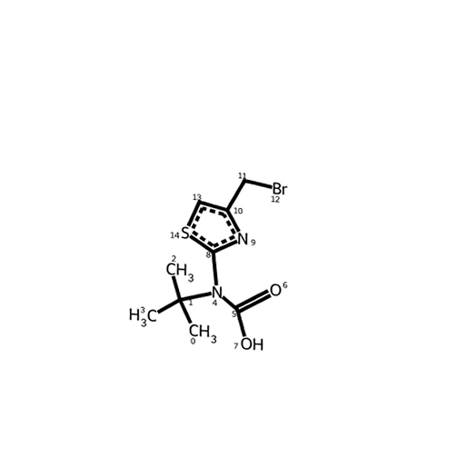 CC(C)(C)N(C(=O)O)c1nc(CBr)cs1